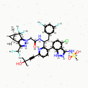 CC(C)(O)C#Cc1ccc(-c2ccc(Cl)c3c(NS(C)(=O)=O)n[nH]c23)c(C(Cc2cc(F)cc(F)c2)NC(=O)Cn2nc(C(F)F)c3c2C(F)(F)[C@@H]2C[C@H]32)n1